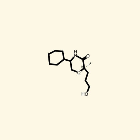 C[C@]1(CCCO)OCC(C2CCCCC2)NC1=O